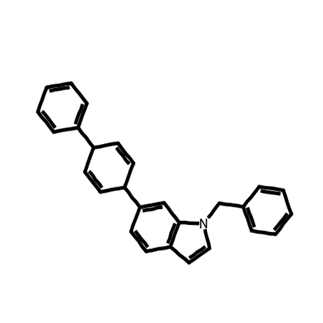 C1=CC(c2ccccc2)C=C[C]1c1ccc2ccn(Cc3ccccc3)c2c1